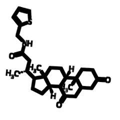 C[C@H](CC(=O)NCc1cccs1)C1CC[C@H]2C3C(=O)CC4CC(=O)CCC4(C)[C@H]3CCC12C